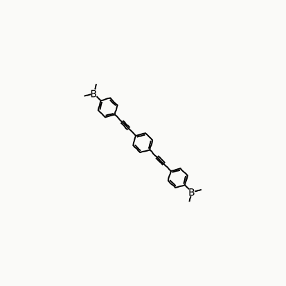 CB(C)c1ccc(C#Cc2ccc(C#Cc3ccc(B(C)C)cc3)cc2)cc1